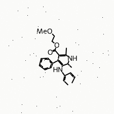 C/C=C\C(=C/C)NC1=C(c2ccccc2)C(C(=O)OCCOC)=C(C)NC1C